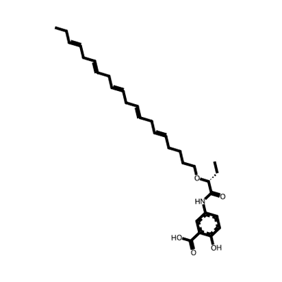 CCC=CCC=CCC=CCC=CCC=CCCCCO[C@H](CC)C(=O)Nc1ccc(O)c(C(=O)O)c1